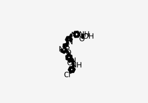 O=C(O)NC1CCN(Cc2ccc(-c3cc4nccc(Oc5ccc6oc(Nc7ccc(Cl)cc7)nc6c5)c4s3)nc2)CC1